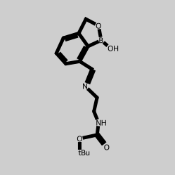 CC(C)(C)OC(=O)NCCN=Cc1cccc2c1B(O)OC2